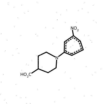 O=C(O)C1CCN(c2cccc([N+](=O)[O-])c2)CC1